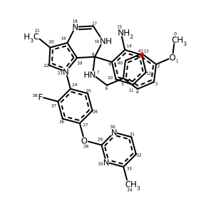 COc1ccc(CNC2(c3ccccc3N)NC=Nc3c(C)cn(-c4ccc(Oc5nccc(C)n5)cc4F)c32)cc1